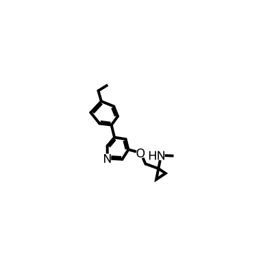 CCc1ccc(-c2cncc(OCC3(NC)CC3)c2)cc1